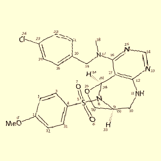 COc1ccc(S(=O)(=O)N2[C@H]3CNc4ncnc(N(C)Cc5ccc(Cl)cc5)c4[C@@H]2OC3)cc1